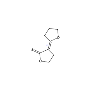 S=C1OCC/C1=C1/CCCO1